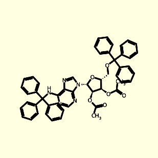 CC(=O)O[C@@H]1[C@H](OC(C)=O)[C@@H](COC(c2ccccc2)(c2ccccc2)c2ccccc2)O[C@H]1n1cnc2c(NC(c3ccccc3)(c3ccccc3)c3ccccc3)ncnc21